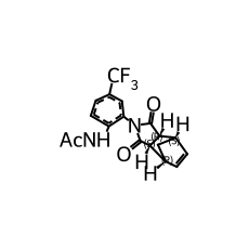 CC(=O)Nc1ccc(C(F)(F)F)cc1N1C(=O)[C@@H]2[C@H](C1=O)[C@@H]1C=C[C@H]2C1